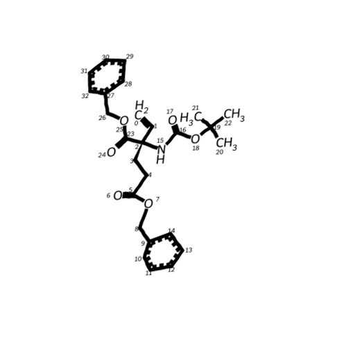 C=C[C@](CCC(=O)OCc1ccccc1)(NC(=O)OC(C)(C)C)C(=O)OCc1ccccc1